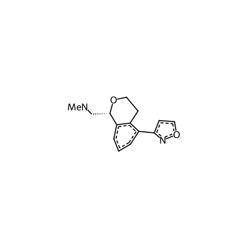 CNC[C@@H]1OCCc2c(-c3ccon3)cccc21